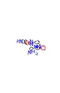 Nc1cccc(-c2ccc(=O)n(Cc3cccc(-c4ncc(OCC5CCNCC5)cn4)c3)n2)c1